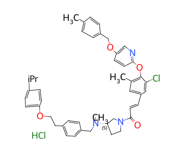 Cc1ccc(COc2ccc(Oc3c(C)cc(C=CC(=O)N4CC[C@H](N(C)Cc5ccc(CCOc6ccc(C(C)C)cc6)cc5)C4)cc3Cl)nc2)cc1.Cl